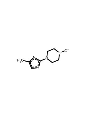 Cc1csc(N2CC[S+]([O-])CC2)n1